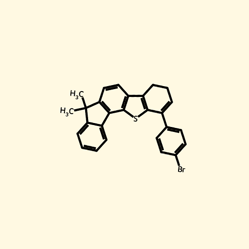 CC1(C)c2ccccc2-c2c1ccc1c3c(sc21)C(c1ccc(Br)cc1)=CCC3